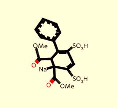 COC(=O)C1C(c2ccccc2)=C(S(=O)(=O)O)C=C(S(=O)(=O)O)[C]1([Na])C(=O)OC